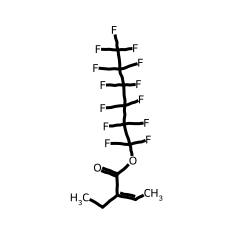 CC=C(CC)C(=O)OC(F)(F)C(F)(F)C(F)(F)C(F)(F)C(F)(F)C(F)(F)F